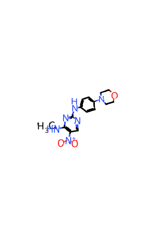 CNc1nc(Nc2ccc(N3CCOCC3)cc2)ncc1[N+](=O)[O-]